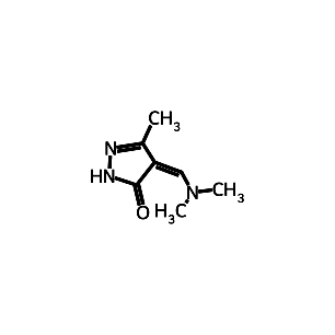 CC1=NNC(=O)C1=CN(C)C